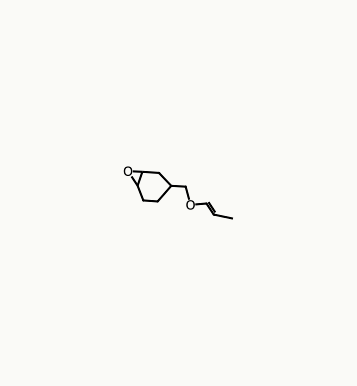 CC=COCC1CCC2OC2C1